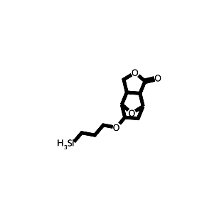 O=C1OCC2C3OC(CC3OCCC[SiH3])C12